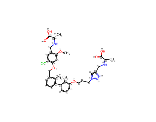 COc1cc(OCc2cccc(-c3cccc(OCCCn4cc(CNC(C)C(=O)O)nn4)c3C)c2C)c(Cl)cc1CN[C@@H](C)C(=O)O